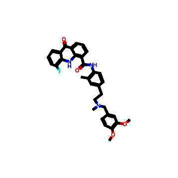 COc1ccc(CN(C)CCc2ccc(NC(=O)c3cccc4c(=O)c5cccc(F)c5[nH]c34)c(C)c2)cc1OC